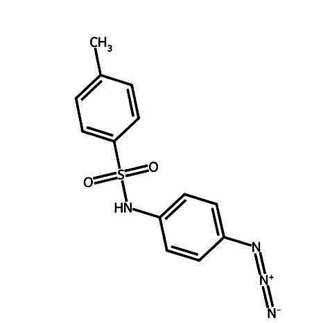 Cc1ccc(S(=O)(=O)Nc2ccc(N=[N+]=[N-])cc2)cc1